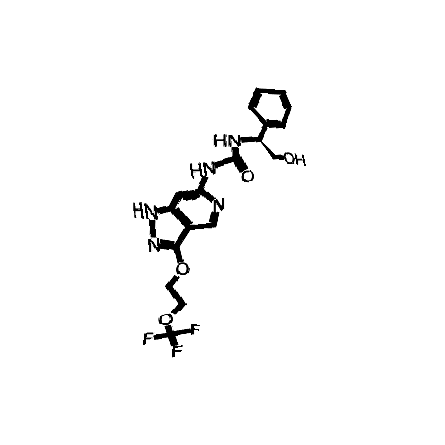 O=C(Nc1cc2[nH]nc(OCCOC(F)(F)F)c2cn1)N[C@H](CO)c1ccccc1